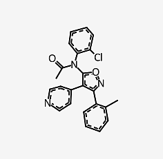 CC(=O)N(c1ccccc1Cl)c1onc(-c2ccccc2C)c1-c1ccncc1